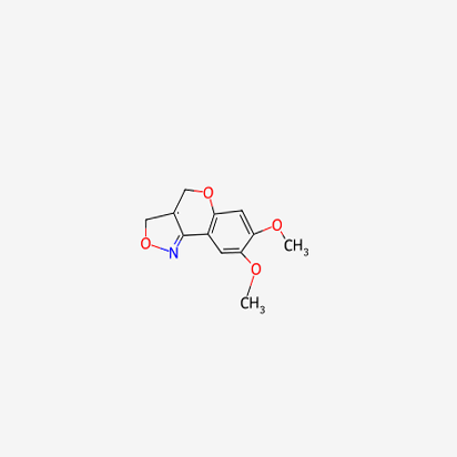 COc1cc2c(cc1OC)C1=NOC[C]1CO2